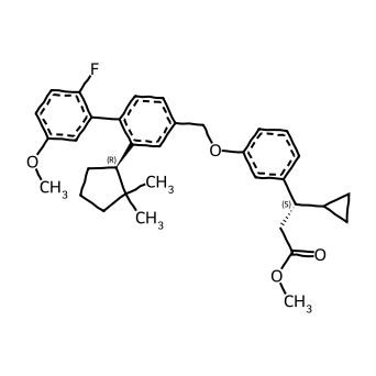 COC(=O)C[C@H](c1cccc(OCc2ccc(-c3cc(OC)ccc3F)c([C@@H]3CCCC3(C)C)c2)c1)C1CC1